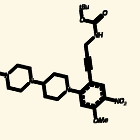 COc1cc(N2CCC(N3CCN(C)CC3)CC2)c(C#CCNC(=O)OC(C)(C)C)cc1[N+](=O)[O-]